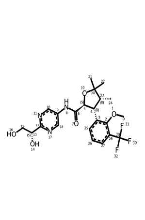 COc1c([C@@H]2[C@@H](C(=O)Nc3cnc([C@H](O)CO)nc3)OC(C)(C)[C@@H]2C)cccc1C(F)(F)F